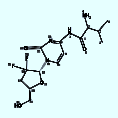 CC(C)C(N)C(=O)Nc1ccn([C@@H]2O[C@@H](CO)[CH]C2(F)F)c(=O)n1